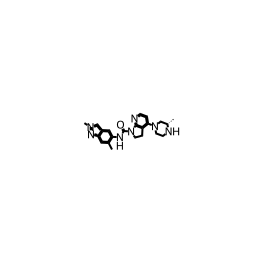 Cc1cc2nn(C)cc2cc1NC(=O)N1CCc2c(N3CCN[C@@H](C)C3)ccnc21